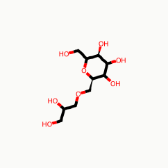 OCC(O)COC[C@H]1OC(CO)[C@@H](O)C(O)C1O